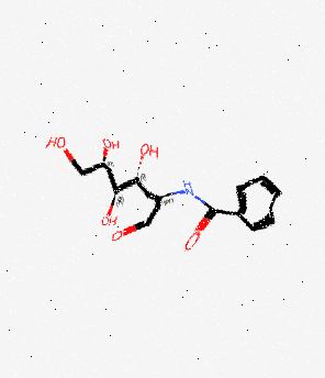 O=C[C@H](NC(=O)c1ccccc1)[C@@H](O)[C@@H](O)[C@H](O)CO